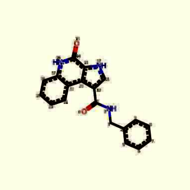 O=C(NCc1ccccc1)c1c[nH]c2c(=O)[nH]c3ccccc3c12